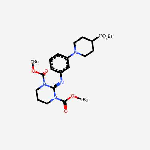 CCOC(=O)C1CCN(c2cccc(N=C3N(C(=O)OC(C)(C)C)CCCN3C(=O)OC(C)(C)C)c2)CC1